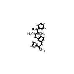 CC(Cc1cccc(CC(C)C(C)C(O)c2ccccc2)c1)c1nccs1